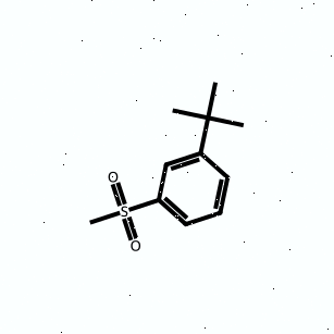 CC(C)(C)c1cccc(S(C)(=O)=O)c1